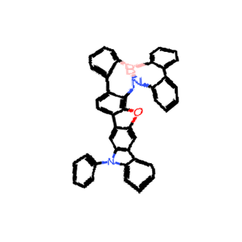 c1ccc(-n2c3ccccc3c3cc4oc5c6c(ccc5c4cc32)-c2ccccc2B2c3ccccc3-c3ccccc3N26)cc1